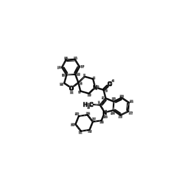 Cc1c(C(=O)N2CCC3(CC2)OCc2ccccc23)c2ccccc2n1CC1CCCCC1